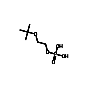 CC(C)(C)OCCOP(=O)(O)O